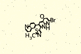 Cc1ncc(-c2nc3[nH]c(Br)cc(=O)c3cc2-c2ccc3ncccc3c2)s1